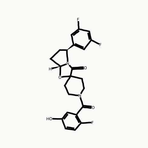 O=C(c1cc(O)ccc1F)N1CCC2(CC1)O[C@@H]1CC[C@@H](c3cc(F)cc(F)c3)N1C2=O